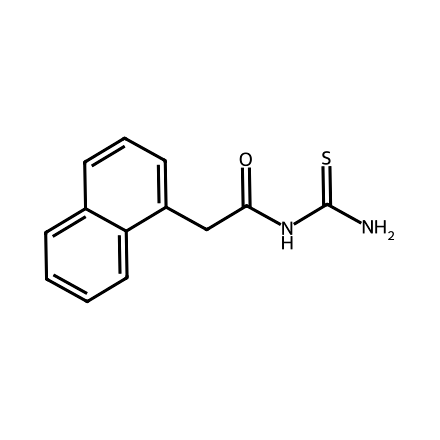 NC(=S)NC(=O)Cc1cccc2ccccc12